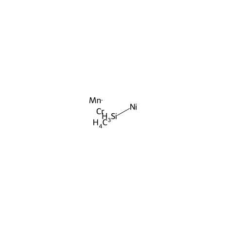 C.[Cr].[Mn].[SiH3][Ni]